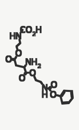 NC(CC(=O)OCCNC(=O)O)C(=O)OCCNC(=O)Oc1ccccc1